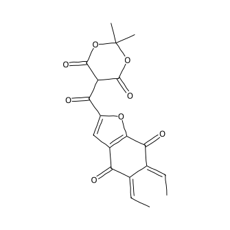 C/C=C1/C(=O)c2cc(C(=O)C3C(=O)OC(C)(C)OC3=O)oc2C(=O)/C1=C/C